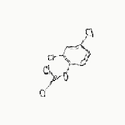 Clc1ccc(OP(Cl)Cl)c(Cl)c1